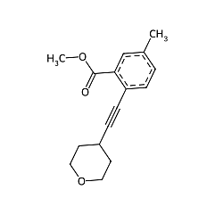 COC(=O)c1cc(C)ccc1C#CC1CCOCC1